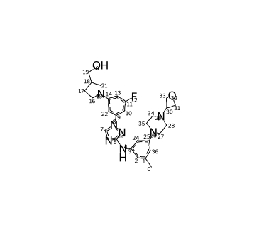 Cc1cc(Nc2ncn(-c3cc(F)cc(N4CCC(CO)C4)c3)n2)cc(N2CCN(C3COC3)CC2)c1